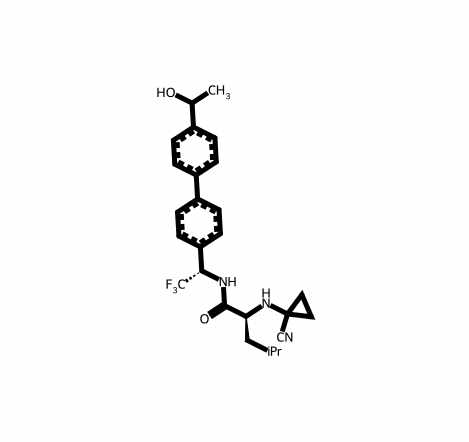 CC(C)C[C@H](NC1(C#N)CC1)C(=O)N[C@@H](c1ccc(-c2ccc(C(C)O)cc2)cc1)C(F)(F)F